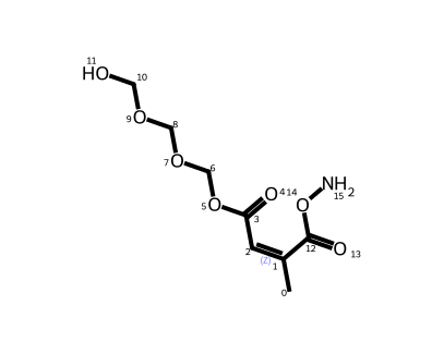 C/C(=C/C(=O)OCOCOCO)C(=O)ON